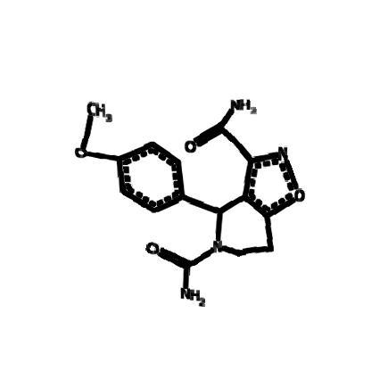 COc1ccc(C2c3c(C(N)=O)noc3CCN2C(N)=O)cc1